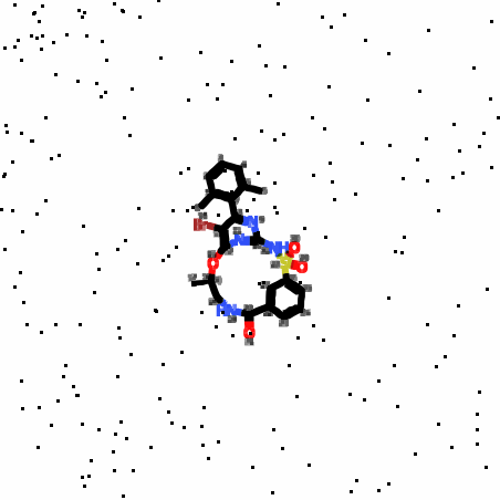 Cc1cccc(C)c1-c1nc2nc(c1Br)O[C@H](C)CNC(=O)c1cccc(c1)S(=O)(=O)N2